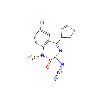 CN1C(=O)C(N=[N+]=[N-])N=C(c2ccsc2)c2cc(Cl)ccc21